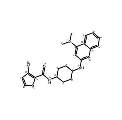 CN(C)c1cc(NC2CCC(NC(=O)c3sccc3Cl)CC2)nc2ccccc12